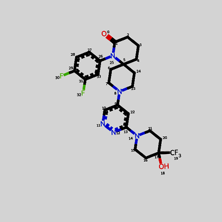 O=C1CCCC2(CCN(c3cnnc(N4CCC(O)(C(F)(F)F)CC4)c3)CC2)N1c1ccc(F)c(F)c1